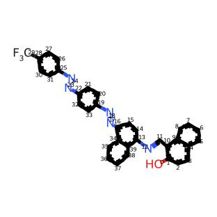 Oc1ccc2ccccc2c1/C=N/c1ccc(/N=N/c2ccc(/N=N/c3ccc(C(F)(F)F)cc3)cc2)c2ccccc12